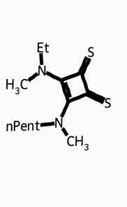 CCCCCN(C)c1c(N(C)CC)c(=S)c1=S